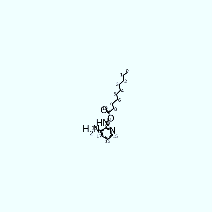 CCCCCCCCCC(=O)ONc1ncccc1N